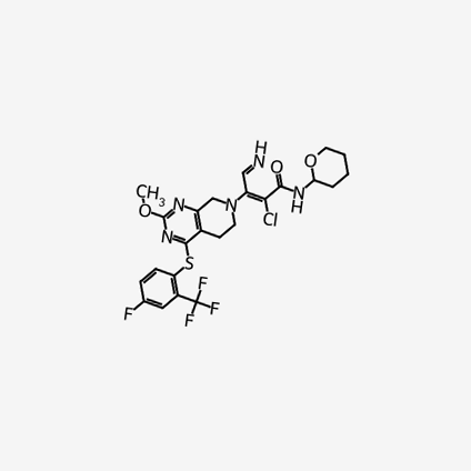 COc1nc2c(c(Sc3ccc(F)cc3C(F)(F)F)n1)CCN(/C(C=N)=C(\Cl)C(=O)NC1CCCCO1)C2